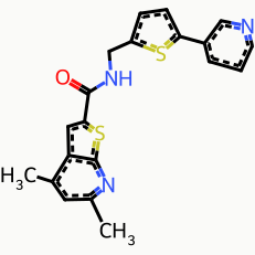 Cc1cc(C)c2cc(C(=O)NCc3ccc(-c4cccnc4)s3)sc2n1